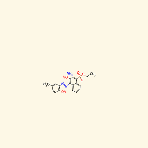 CCOS(=O)(=O)c1cc(O)c(N=Nc2cc(C)ccc2O)c2ccccc12.N